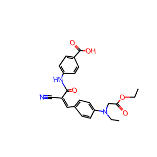 CCOC(=O)CN(CC)c1ccc(/C=C(/C#N)C(=O)Nc2ccc(C(=O)O)cc2)cc1